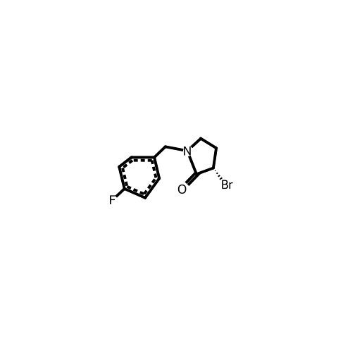 O=C1[C@@H](Br)CCN1Cc1ccc(F)cc1